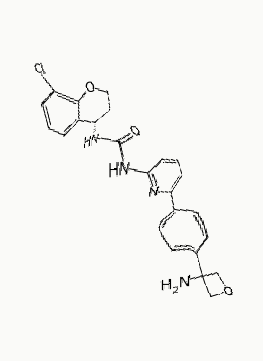 NC1(c2ccc(-c3cccc(NC(=O)N[C@H]4CCOc5c(Cl)cccc54)n3)cc2)COC1